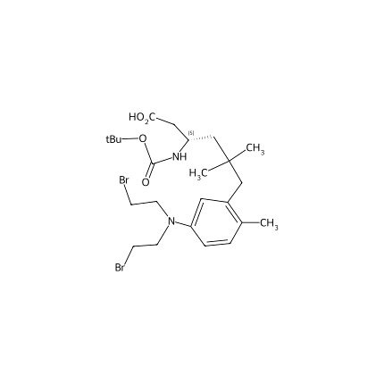 Cc1ccc(N(CCBr)CCBr)cc1CC(C)(C)C[C@@H](CC(=O)O)NC(=O)OC(C)(C)C